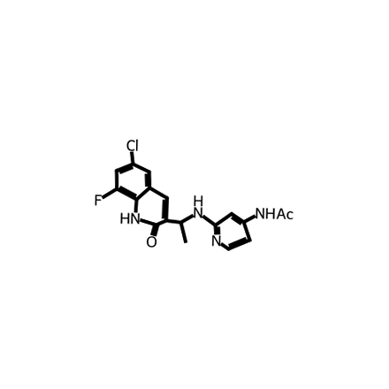 CC(=O)Nc1ccnc(NC(C)c2cc3cc(Cl)cc(F)c3[nH]c2=O)c1